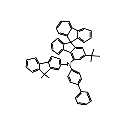 CC(C)(C)c1cc(N(c2ccc(-c3ccccc3)cc2)c2ccc3c(c2)C(C)(C)c2ccccc2-3)c2c(c1)C1(c3ccccc3-c3ccccc31)c1ccccc1-2